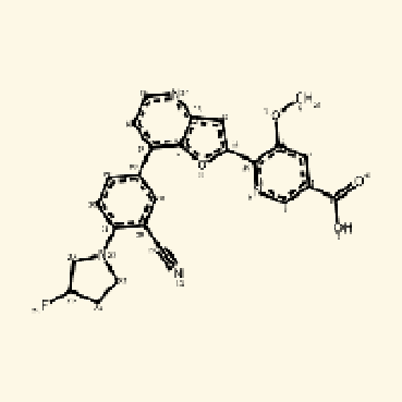 COc1cc(C(=O)O)cnc1-c1cc2nccc(-c3ccc(N4CCC(F)C4)c(C#N)c3)c2o1